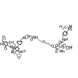 CCN(c1cc(-c2ccc(CN3CCN(CC(=O)NCCCCCOCCCOCC(=O)N[C@H](C(=O)N4C[C@H](O)C[C@H]4C(=O)NCc4ccc(-c5scnc5C)cc4)C(C)(C)C)CC3)cc2)cc(C(=O)NCc2c(C)cc(C)[nH]c2=O)c1C)C1CCOCC1